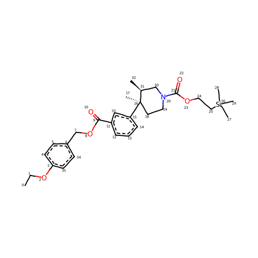 CCOc1ccc(COC(=O)c2cccc([C@]3(C)CCN(C(=O)OCC[Si](C)(C)C)C[C@@H]3C)c2)cc1